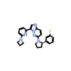 Fc1cccc([C@H]2CCCN2c2ccc3ncc(-c4cccc(N5CCC5)n4)n3n2)c1